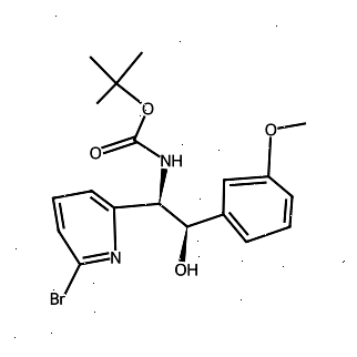 COc1cccc([C@@H](O)[C@H](NC(=O)OC(C)(C)C)c2cccc(Br)n2)c1